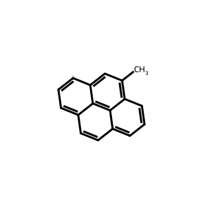 Cc1cc2[c]ccc3ccc4cccc1c4c23